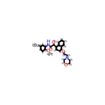 CC(C)Oc1ccc(C(C)(C)C)cc1NC(=O)C(=O)c1ccc(OCCN2CCOCC2)c2ccccc12